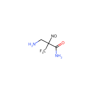 NCC(N=O)(C(N)=O)C(F)(F)F